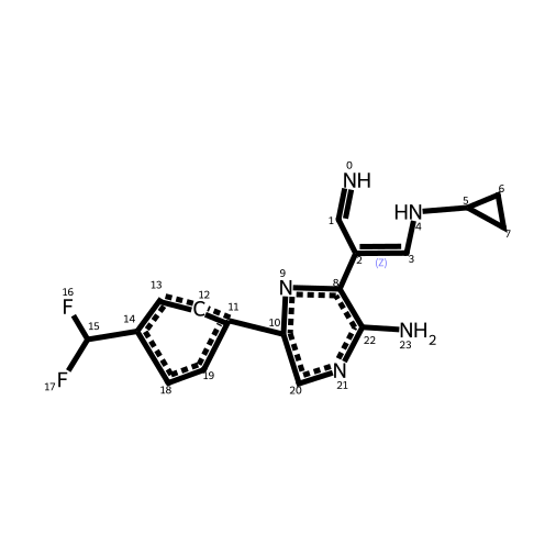 N=C/C(=C\NC1CC1)c1nc(-c2ccc(C(F)F)cc2)cnc1N